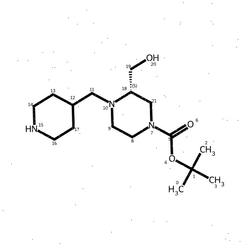 CC(C)(C)OC(=O)N1CCN(CC2CCNCC2)[C@H](CO)C1